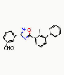 Cc1c(-c2ccccc2)cccc1-c1nc(-c2cccc(C=O)c2)no1